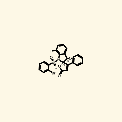 O=C1C=C(c2ccccc2)[C@]2(O1)[C@@H](O)c1cccc(F)c1N2S(=O)(=O)c1ccccc1Br